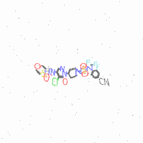 N#Cc1ccc(N(C(F)F)S(=O)(=O)N2CCC(n3ncc(NC[C@H]4COCC[S+]4[O-])c(Cl)c3=O)CC2)c(F)c1